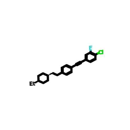 CC[C@H]1CC[C@H](CCc2ccc(C#Cc3ccc(Cl)c(F)c3)cc2)CC1